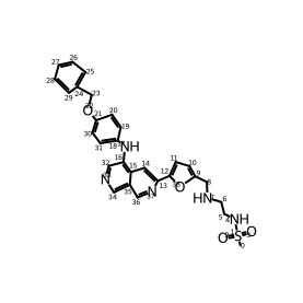 CS(=O)(=O)NCCNCc1ccc(-c2cc3c(Nc4ccc(OCc5ccccc5)cc4)cncc3cn2)o1